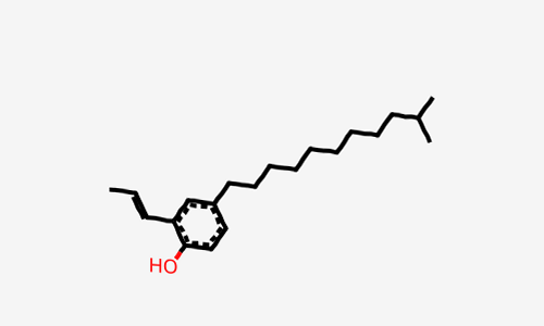 CC=Cc1cc(CCCCCCCCCC(C)C)ccc1O